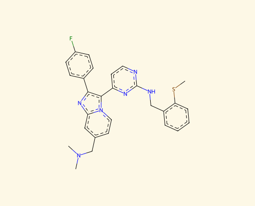 CSc1ccccc1CNc1nccc(-c2c(-c3ccc(F)cc3)nc3cc(CN(C)C)ccn23)n1